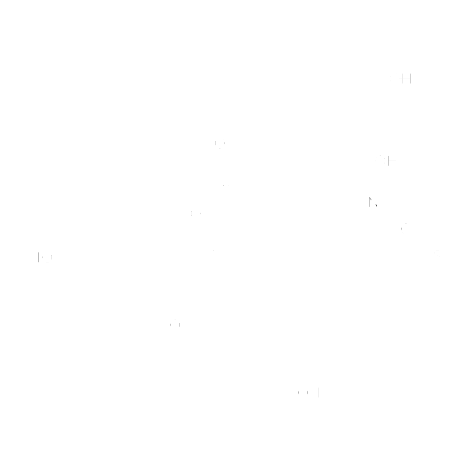 O=C1OC2(c3ccc(O)cc3Oc3cc(O)ccc32)c2ccc(N=C=S)c(CC(O)CO)c21